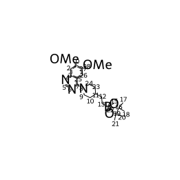 COc1cc2ncnc(N3CCC(CCB4OC(C)(C)C(C)(C)O4)CC3)c2cc1OC